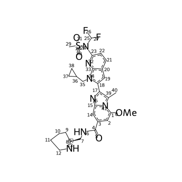 COc1cc(C(=O)NC[C@@H]2CCCCN2)cc2nc(-c3cc4ccc(N(C(F)F)S(C)(=O)=O)nc4n3CC3CC3)c(C)n12